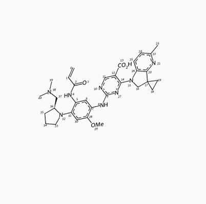 C=CC(=O)Nc1cc(Nc2ncc(C(=O)O)c(N3CC4(CC4)c4nc(C)ccc43)n2)c(OC)cc1N1CCC[C@H]1CN(C)C